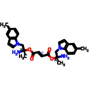 Cc1ccc2c(ccn2C[C@@](C)(N)OC(=O)/C=C/C(=O)O[C@](C)(N)Cn2ccc3cc(C)ccc32)c1